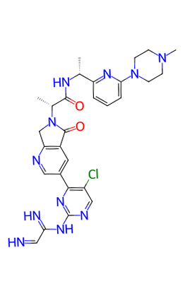 C[C@H](C(=O)N[C@H](C)c1cccc(N2CCN(C)CC2)n1)N1Cc2ncc(-c3nc(NC(=N)C=N)ncc3Cl)cc2C1=O